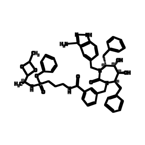 CC1OC([C@H](C)NP(=O)(CCCNC(=O)c2cccc(CN3C(=O)N(Cc4ccc5[nH]nc(N)c5c4)[C@H](Cc4ccccc4)[C@H](O)[C@@H](O)[C@H]3Cc3ccccc3)c2)Oc2ccccc2)O1